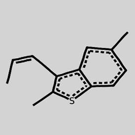 C/C=C\c1c(C)sc2ccc(C)cc12